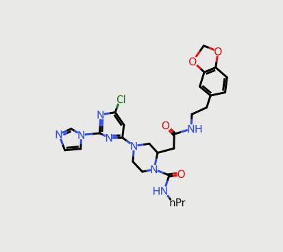 CCCNC(=O)N1CCN(c2cc(Cl)nc(-n3ccnc3)n2)CC1CC(=O)NCCc1ccc2c(c1)OCO2